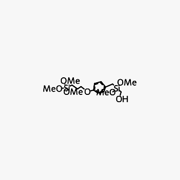 CO[Si](CO)(Cc1ccc(OCCC[Si](OC)(OC)OC)cc1)OC